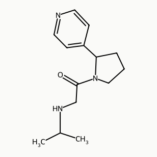 CC(C)NCC(=O)N1CCCC1c1ccncc1